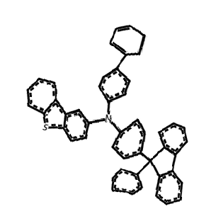 C1=CCCC(c2ccc(N(c3ccc(C4(c5ccccc5)c5ccccc5-c5ccccc54)cc3)c3ccc4sc5ccccc5c4c3)cc2)=C1